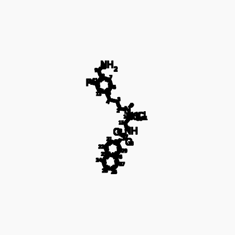 CN(CCCc1ccc(CN)c(F)c1)CCNS(=O)(=O)c1ccc2ccccc2c1.Cl.Cl